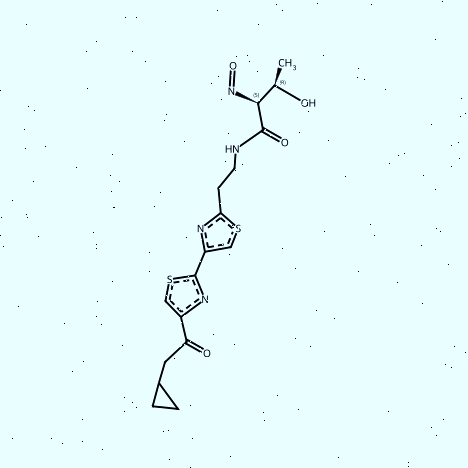 C[C@@H](O)[C@H](N=O)C(=O)NCCc1nc(-c2nc(C(=O)CC3CC3)cs2)cs1